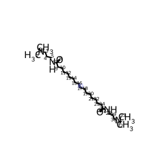 CN(C)CCCNC(=O)CCCCCCC/C=C/CCCCCCCC(=O)NCCCN(C)C